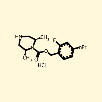 CCCc1ccc(COC(=O)N2[C@H](C)CNC[C@@H]2C)c(F)c1.Cl